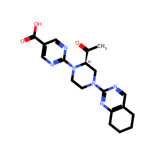 CC(=O)[C@H]1CN(c2ncc3c(n2)CCCC3)CCN1c1ncc(C(=O)O)cn1